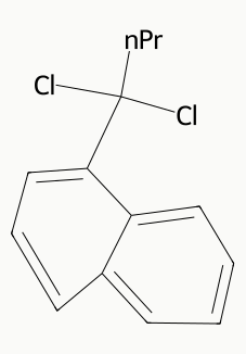 CCCC(Cl)(Cl)c1cccc2ccccc12